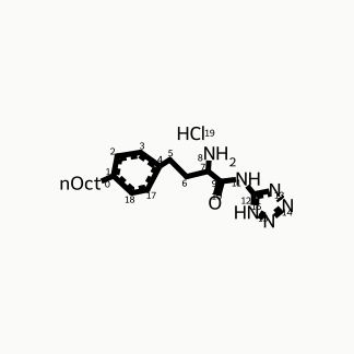 CCCCCCCCc1ccc(CCC(N)C(=O)Nc2nnn[nH]2)cc1.Cl